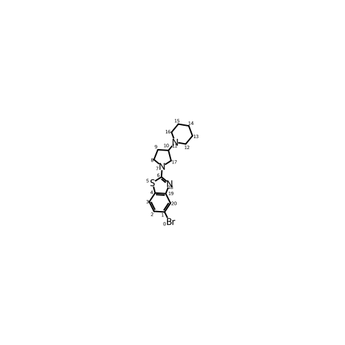 Brc1ccc2sc(N3CCC(N4CCCCC4)C3)nc2c1